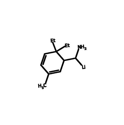 [Li][CH](N)C1C=C(C)C=CC1(CC)CC